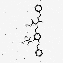 CN(C)S(=O)(=O)Oc1cc(CC[C@H](C(=O)ON)C(=O)OCc2ccccc2)ccc1OCc1ccccc1